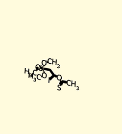 CO[Si](CC(I)OC(C)=S)(OC)OC